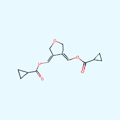 O=C(OC=C1COCC1=COC(=O)C1CC1)C1CC1